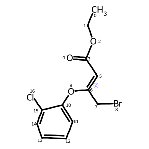 CCOC(=O)/C=C(/CBr)Oc1ccccc1Cl